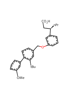 CCC[C@H](CC(=O)O)c1cccc(OCc2ccc(-c3cccc(OC)c3)c(C(C)(C)C)c2)c1